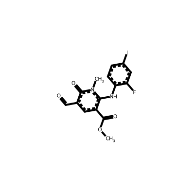 COC(=O)c1cc(C=O)c(=O)n(C)c1Nc1ccc(I)cc1F